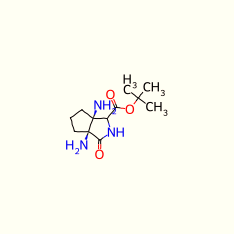 CC(C)(C)OC(=O)C1NC(=O)[C@]2(N)CCC[C@]12N